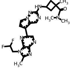 Cc1nc2ncc(-c3ccn4nc(NC5CC(C)(C(=O)N(C)C)C5)ncc34)nc2n1CC(F)F